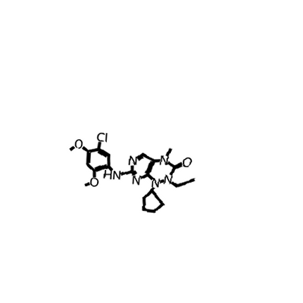 CCN1C(=O)N(C)c2cnc(Nc3cc(Cl)c(OC)cc3OC)nc2N1C1CCCC1